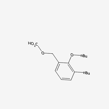 CCCCOc1c(CCCC)cccc1COC(=O)O